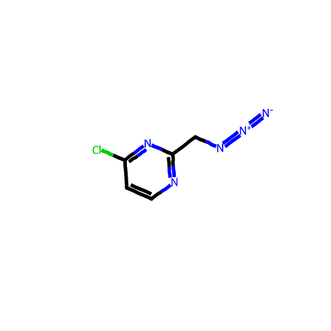 [N-]=[N+]=NCc1nccc(Cl)n1